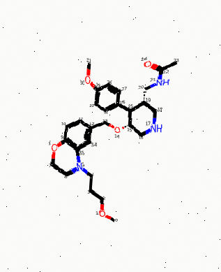 COCCCN1CCOc2ccc(CO[C@H]3CNC[C@@H](CNC(C)=O)C3c3ccc(OC)cc3)cc21